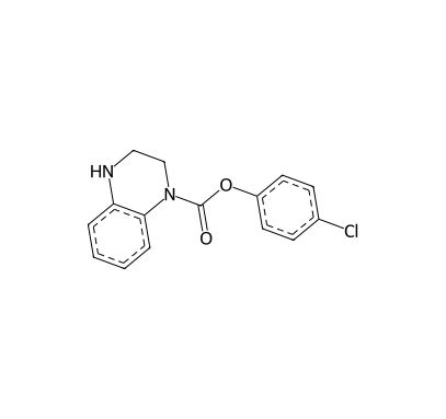 O=C(Oc1ccc(Cl)cc1)N1CCNc2ccccc21